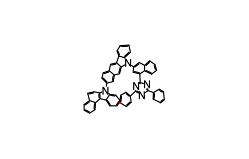 c1ccc(-c2nc(-c3ccccc3)nc(-c3cc(-n4c5ccccc5c5cc6ccc(-n7c8ccccc8c8c9ccccc9ccc87)cc6cc54)cc4ccccc34)n2)cc1